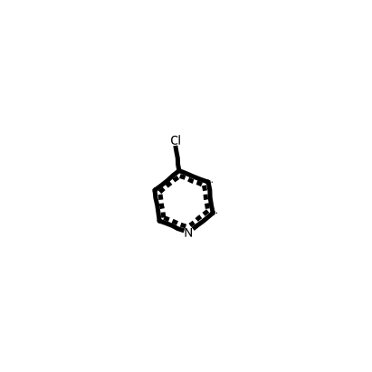 Clc1[c][c]ncc1